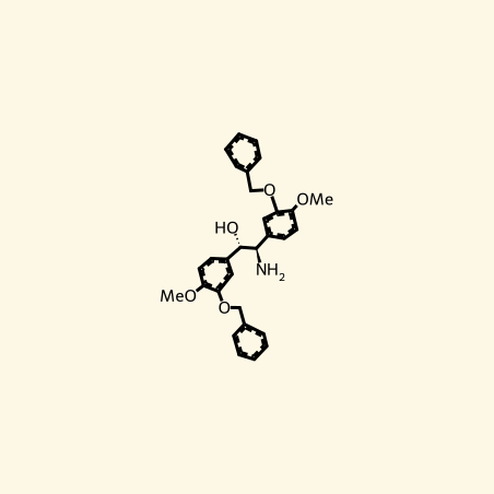 COc1ccc([C@@H](N)[C@@H](O)c2ccc(OC)c(OCc3ccccc3)c2)cc1OCc1ccccc1